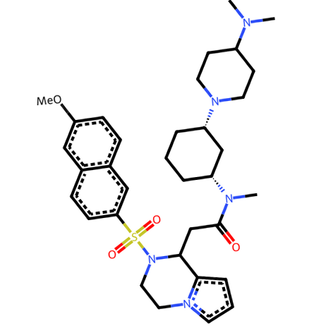 COc1ccc2cc(S(=O)(=O)N3CCn4cccc4C3CC(=O)N(C)[C@@H]3CCC[C@H](N4CCC(N(C)C)CC4)C3)ccc2c1